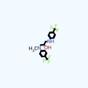 CN(C[C@@H](O)CNc1ccc(C(F)(F)F)cc1)c1ccc(C(F)(F)F)cc1